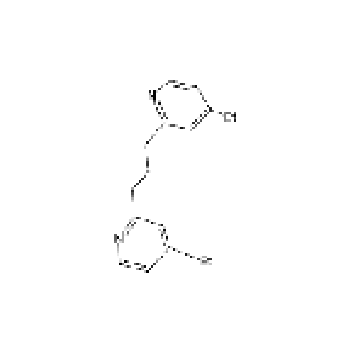 CCc1ccnc(CCCc2cc(CC)ccn2)c1